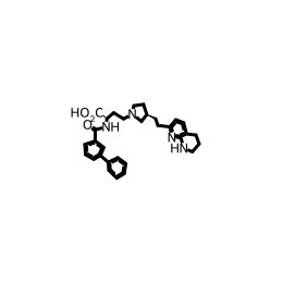 O=C(N[C@@H](CCN1CC[C@@H](CCc2ccc3c(n2)NCCC3)C1)C(=O)O)c1cccc(-c2ccccc2)c1